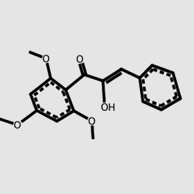 COc1cc(OC)c(C(=O)C(O)=Cc2ccccc2)c(OC)c1